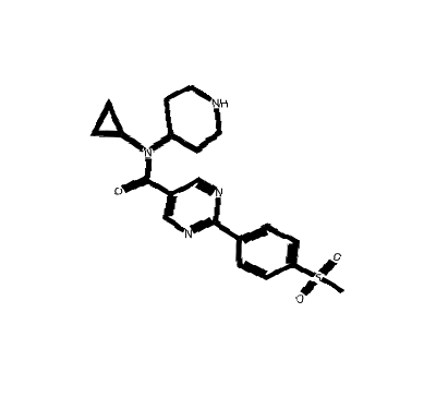 CS(=O)(=O)c1ccc(-c2ncc(C(=O)N(C3CCNCC3)C3CC3)cn2)cc1